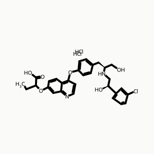 CCC(Oc1ccc2c(Oc3ccc(C[C@@H](CO)NC[C@H](O)c4cccc(Cl)c4)cc3)ccnc2c1)C(=O)O.Cl.Cl